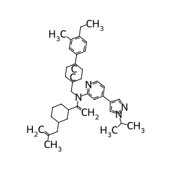 C=C(C)CC1CCCC(C(=C)N(CC23CCC(c4ccc(CC)c(C)c4)(CC2)CC3)c2cc(-c3cnn(C(C)C)c3)ccn2)C1